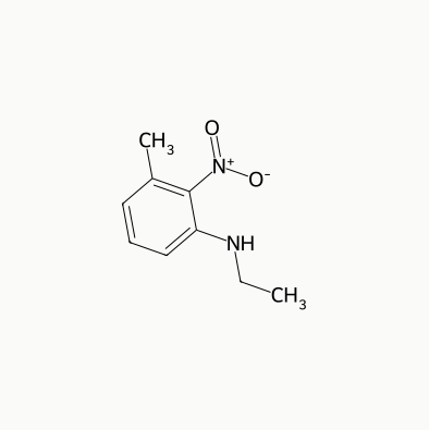 CCNc1cccc(C)c1[N+](=O)[O-]